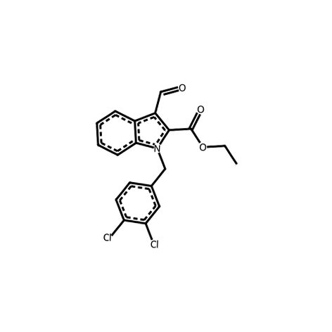 CCOC(=O)c1c(C=O)c2ccccc2n1Cc1ccc(Cl)c(Cl)c1